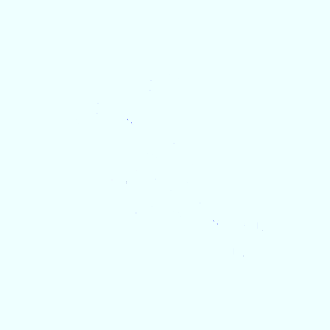 CCN(CC)c1ccc2c(c1)Oc1c(Cl)cc(N(Cc3ccccc3)Cc3ccccc3)cc1C21OC(=O)c2ccccc21